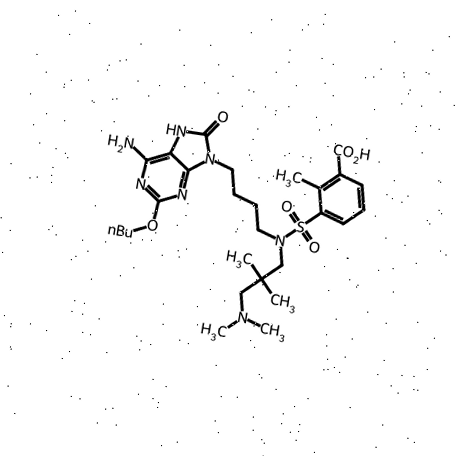 CCCCOc1nc(N)c2[nH]c(=O)n(CCCCN(CC(C)(C)CN(C)C)S(=O)(=O)c3cccc(C(=O)O)c3C)c2n1